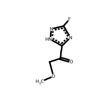 COCC(=O)c1nc(F)n[nH]1